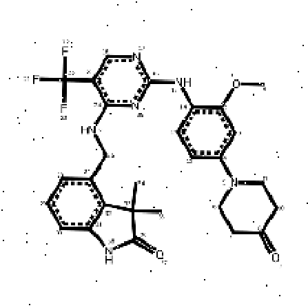 COc1cc(N2CCC(=O)CC2)ccc1Nc1ncc(C(F)(F)F)c(NCc2cccc3c2C(C)(C)C(=O)N3)n1